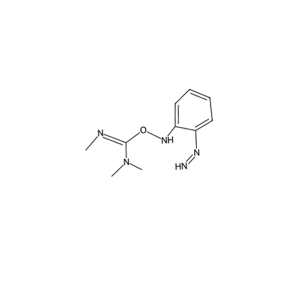 C/N=C(/ONc1ccccc1N=N)N(C)C